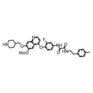 COc1cc2c(Oc3ccc(NC(=O)C(=O)NCCc4ccc(C)cc4)cc3F)ccnc2cc1OCC1CCNCC1